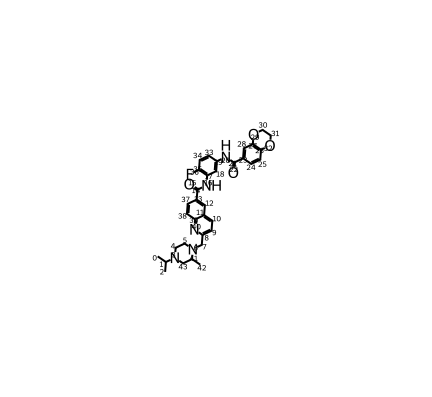 CC(C)N1CCN(Cc2ccc3cc(C(=O)Nc4cc(NC(=O)c5ccc6c(c5)OCCO6)ccc4F)ccc3n2)C(C)C1